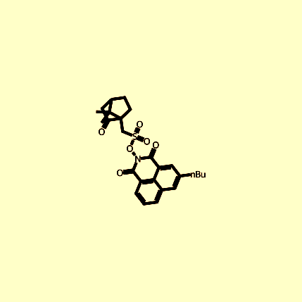 CCCCc1cc2c3c(cccc3c1)C(=O)N(OS(=O)(=O)CC13CCC(CC1=O)C3(C)C)C2=O